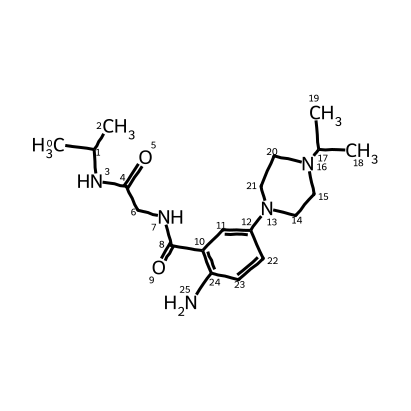 CC(C)NC(=O)CNC(=O)c1cc(N2CCN(C(C)C)CC2)ccc1N